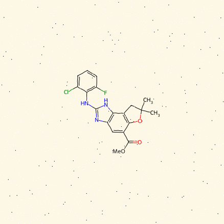 COC(=O)c1cc2nc(Nc3c(F)cccc3Cl)[nH]c2c2c1OC(C)(C)C2